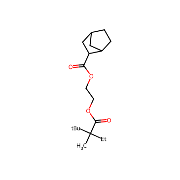 CCC(C)(C(=O)OCCOC(=O)C1CC2CCC1C2)C(C)(C)C